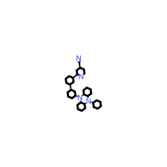 N#Cc1ccnc(-c2cccc(-c3cccc(N4c5ccccc5N(c5ccccc5)c5ccccc54)c3)c2)c1